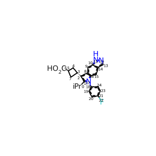 CC(C)c1c([C@H]2C[C@H](C(=O)O)C2)c2cc3[nH]ncc3cc2n1-c1ccc(F)cc1